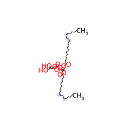 CCCC/C=C\C/C=C\CCCCCCCC(=O)O[C@H](COC(=O)CCCCCCCCC/C=C\C/C=C\CCCCC)COP(=O)(O)OC[C@@H](O)CO